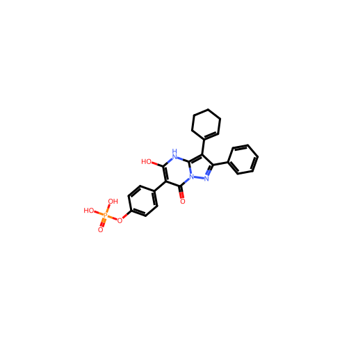 O=c1c(-c2ccc(OP(=O)(O)O)cc2)c(O)[nH]c2c(C3=CCCCC3)c(-c3ccccc3)nn12